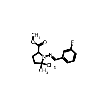 COC(=O)C1CCC(C)(C)N1N=Cc1cccc(F)c1